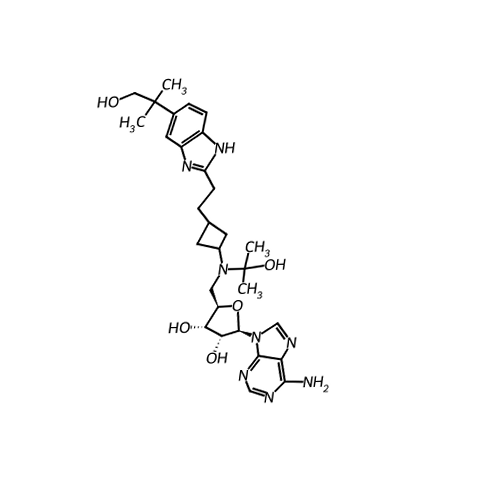 CC(C)(CO)c1ccc2[nH]c(CCC3CC(N(C[C@H]4O[C@@H](n5cnc6c(N)ncnc65)[C@H](O)[C@@H]4O)C(C)(C)O)C3)nc2c1